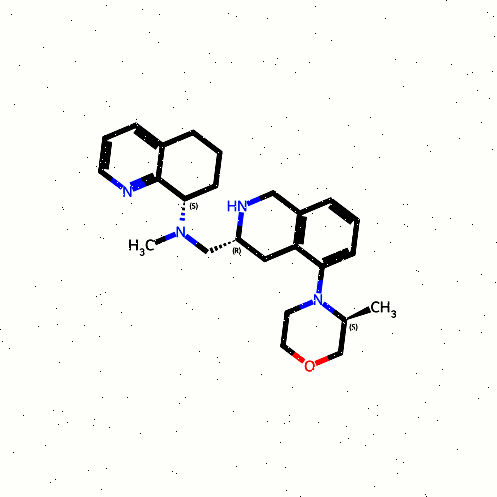 C[C@H]1COCCN1c1cccc2c1C[C@H](CN(C)[C@H]1CCCc3cccnc31)NC2